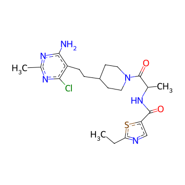 CCc1ncc(C(=O)NC(C)C(=O)N2CCC(CCc3c(N)nc(C)nc3Cl)CC2)s1